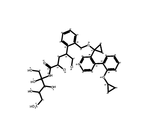 O=C(O)CC(O)C(O)C(O)(CO)NC(=O)C(Cl)CC(CCl)c1ccccc1COC1(c2cnccc2-c2ccccc2OC2CC2)CC1